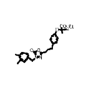 CCOC(=O)C(C)(C)Oc1ccc(CCCc2nn(Cc3ccc(C)c(C)c3)c(=O)o2)cc1